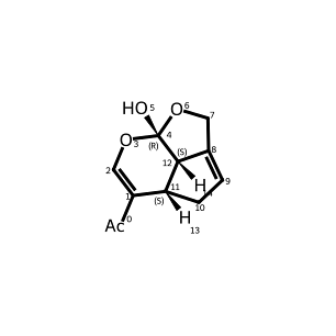 CC(=O)C1=CO[C@]2(O)OCC3=CC[C@H]1[C@@H]32